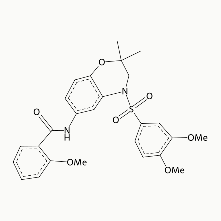 COc1ccc(S(=O)(=O)N2CC(C)(C)Oc3ccc(NC(=O)c4ccccc4OC)cc32)cc1OC